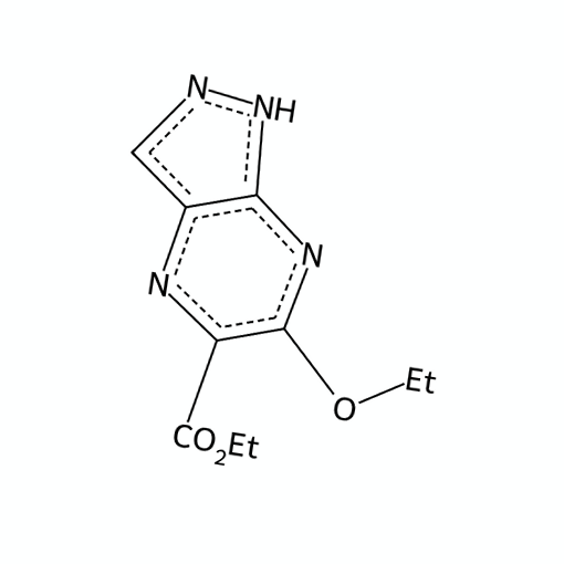 CCOC(=O)c1nc2cn[nH]c2nc1OCC